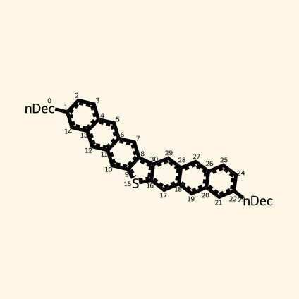 CCCCCCCCCCc1ccc2cc3cc4c(cc3cc2c1)sc1cc2cc3cc(CCCCCCCCCC)ccc3cc2cc14